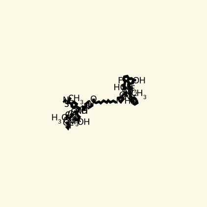 C#Cc1c(F)ccc2cc(O)cc(/C(N=C)=C(\F)c3nc(OC4CCN(CCCCCCCCCC(=O)N5CCN(C(=O)C[C@H](NC(=O)C6C[C@@H](O)CN6C(=O)[C@@H](NC(=O)C6(F)CC6)C(C)(C)C)c6ccc(-c7scnc7C)cc6)CC5)C4)nc(N4CC5CCC(C4)N5)c3C)c12